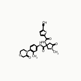 C#Cc1ccc(C(=O)NC2(C(=O)Nc3ccc(N4CCOCC4=O)c(C)c3)CC(=O)N(C)C2)s1